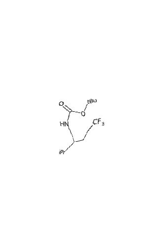 CC(C)C(CC(F)(F)F)NC(=O)OC(C)(C)C